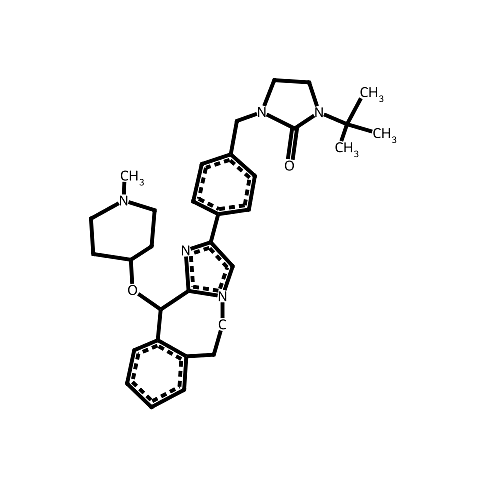 CN1CCC(OC2c3ccccc3CCn3cc(-c4ccc(CN5CCN(C(C)(C)C)C5=O)cc4)nc32)CC1